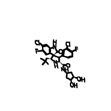 CC(C)(C)C[C@H]1N[C@@H](C(=O)NC2C[C@@H](O)[C@@H](O)C2)[C@H](c2ccc(F)c(Cl)c2)[C@@]12C(=O)Nc1cc(Cl)c(F)cc12